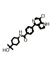 CC(C)(O)C1CCC(NC(=O)c2ccc(-c3ncc(Cl)c4[nH]ccc34)cc2)CC1